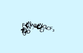 C[C@H](Nc1ncc(F)c(N2C(=O)OCC2(C)C)n1)c1cnc(OCC(F)(F)F)c(Cl)c1